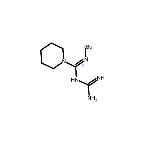 CC(C)(C)/N=C(/NC(=N)N)N1CCCCC1